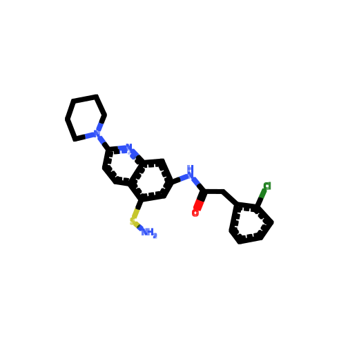 NSc1cc(NC(=O)Cc2ccccc2Cl)cc2nc(N3CCCCC3)ccc12